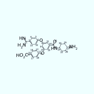 N=C(N)c1ccc(Oc2cc(Oc3ccc(C(=O)O)cc3)cc(C(=O)NC3CCC(N)CC3)c2)cc1